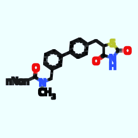 CCCCCCCCCC(=O)N(C)Cc1cccc(-c2ccc(CC3SC(=O)NC3=O)cc2)c1